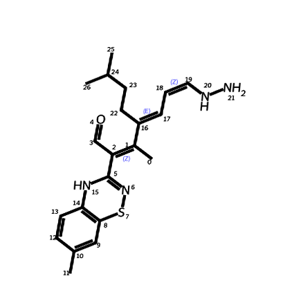 CC(=C(/C=O)C1=NSc2cc(C)ccc2N1)/C(=C/C=C\NN)CCC(C)C